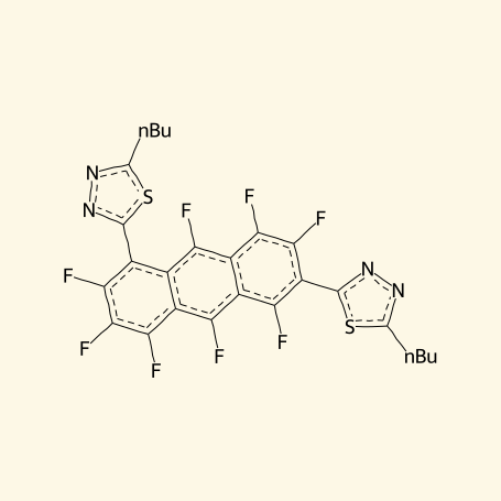 CCCCc1nnc(-c2c(F)c(F)c3c(F)c4c(-c5nnc(CCCC)s5)c(F)c(F)c(F)c4c(F)c3c2F)s1